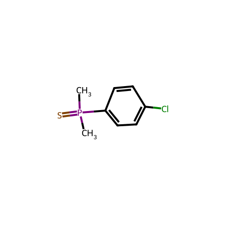 CP(C)(=S)c1ccc(Cl)cc1